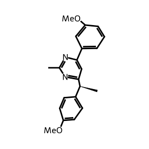 COc1ccc([C@H](C)c2cc(-c3cccc(OC)c3)nc(C)n2)cc1